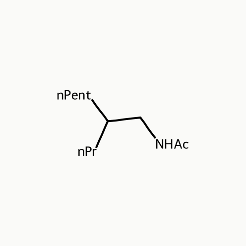 CCCCCC(CCC)CNC(C)=O